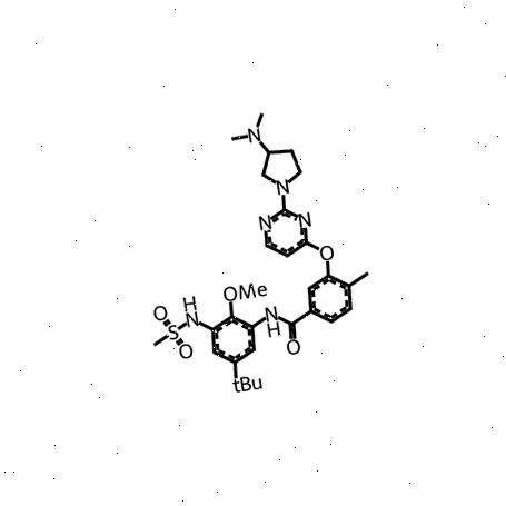 COc1c(NC(=O)c2ccc(C)c(Oc3ccnc(N4CCC(N(C)C)C4)n3)c2)cc(C(C)(C)C)cc1NS(C)(=O)=O